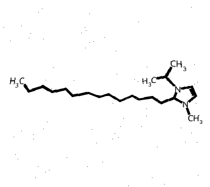 CCCCCCCCCCCCCCC1N(C)C=CN1C(C)C